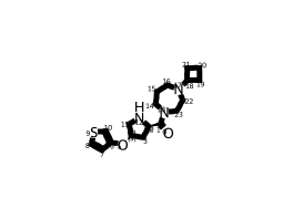 O=C([C@H]1C[C@H](Oc2ccsc2)CN1)N1CCCN(C2CCC2)CC1